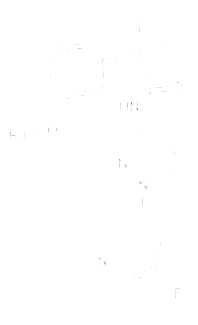 O=C(Nc1ccn(-c2cncc(F)c2)n1)C1(c2cccc(OC(F)(F)F)c2)CC1